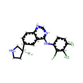 Fc1c(Nc2ncnc3ccc([C@@]4(F)CCNC4)cc23)ccc(Cl)c1Cl